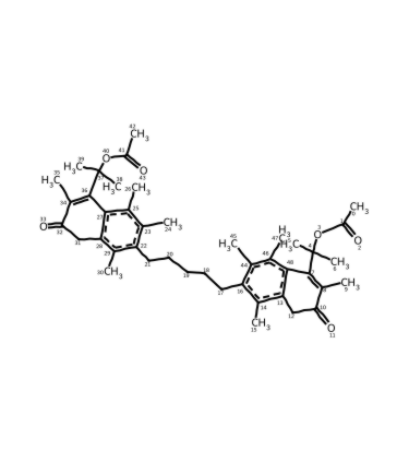 CC(=O)OC(C)(C)C1=C(C)C(=O)Cc2c(C)c(CCCCCc3c(C)c(C)c4c(c3C)CC(=O)C(C)=C4C(C)(C)OC(C)=O)c(C)c(C)c21